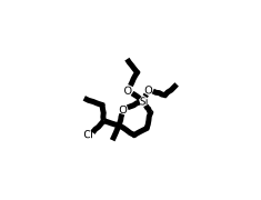 CCO[Si]1(OCC)CCCC(C)(C(Cl)CC)O1